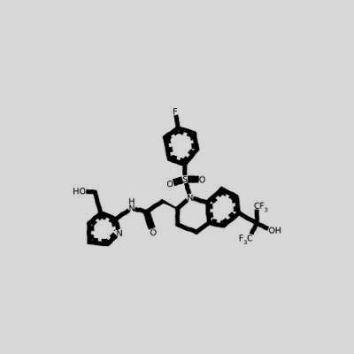 O=C(C[C@@H]1CCc2cc(C(O)(C(F)(F)F)C(F)(F)F)ccc2N1S(=O)(=O)c1ccc(F)cc1)Nc1ncccc1CO